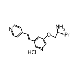 CC(C)[C@H](N)COc1cncc(C=Cc2ccncc2)c1.Cl